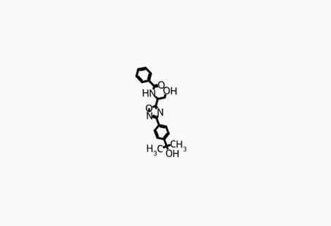 CC(C)(O)c1ccc(-c2noc(C(CO)NC(=O)c3ccccc3)n2)cc1